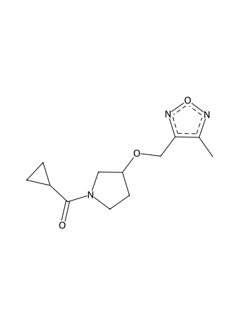 Cc1nonc1COC1CCN(C(=O)C2CC2)C1